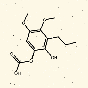 CCCc1c(O)c(OC(=O)O)cc(OC)c1OC